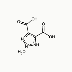 O.O=C(O)c1nn[nH]c1C(=O)O